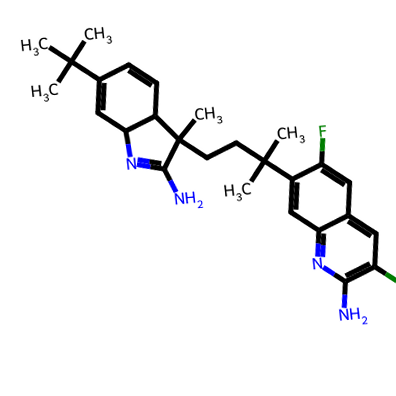 CC(C)(C)C1=CC2N=C(N)C(C)(CCC(C)(C)c3cc4nc(N)c(Cl)cc4cc3F)C2C=C1